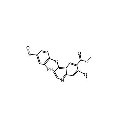 COC(=O)c1cc2c(Oc3ncc(N=O)cc3P)ccnc2cc1OC